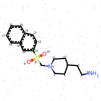 NCCC1CCN(CS(=O)(=O)c2ccc3ccccc3c2)CC1